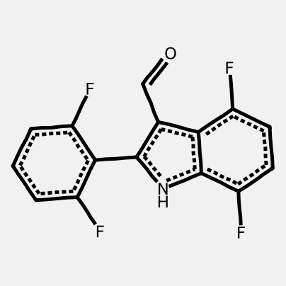 O=Cc1c(-c2c(F)cccc2F)[nH]c2c(F)ccc(F)c12